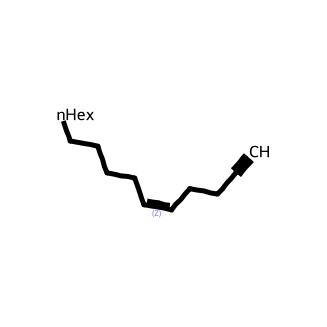 C#CCC/C=C\CCCCCCCCCC